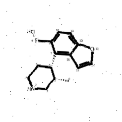 C[C@@H]1CNCC[C@@H]1c1c(F)ccc2occc12.Cl